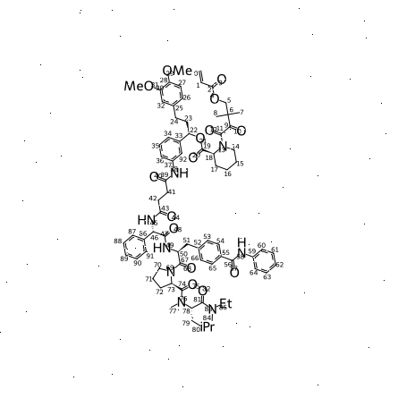 C=CC(=O)OCC(C)(C)C(=O)C(=O)N1CCCC[C@H]1C(=O)O[C@H](CCc1ccc(OC)c(OC)c1)c1cccc(NC(=O)CCC(=O)N[C@H](C(=O)N[C@@H](Cc2ccc(C(=O)Nc3ccccc3)cc2)C(=O)N2CCC[C@@H]2C(=O)N(C)[C@@H](CC(C)C)C(=O)N(C)CC)c2ccccc2)c1